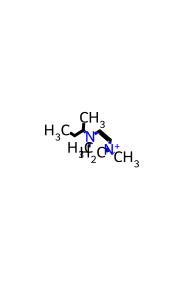 C=[N+](C)/C=C\N(C)C(C)CC